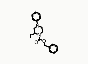 O=C(OCc1ccccc1)N1CCN(c2cc[c]cc2)CC1F